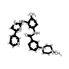 Cc1ccc(NC(=O)c2cccc(N3CCN(C)CC3)c2)cc1Nc1nc(-c2cccnc2)cs1